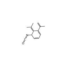 C=C(C)C1=CC=CC(N=C=O)C1=C(C)C